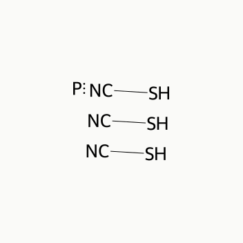 N#CS.N#CS.N#CS.[P]